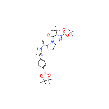 C=C(N/C=C(\C)c1ccc(B2OC(C)(C)C(C)(C)O2)cc1)C1CCCN1C(=O)C(NC(=O)OC(C)(C)C)C(C)(C)C